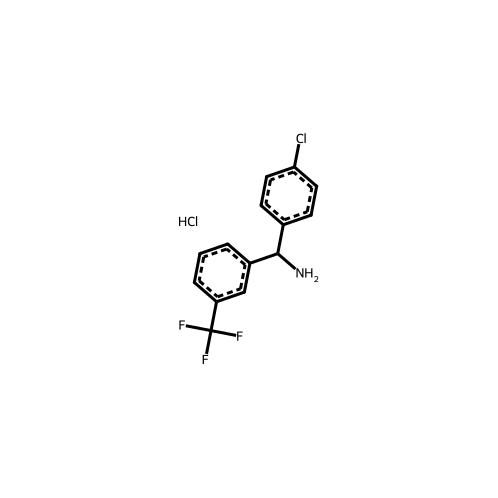 Cl.NC(c1ccc(Cl)cc1)c1cccc(C(F)(F)F)c1